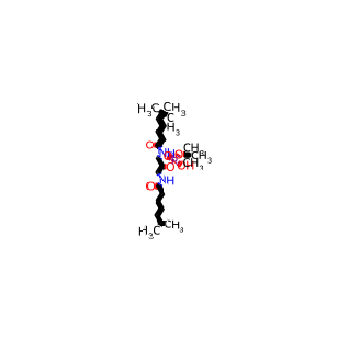 CC(C)CCCCC(=O)NCC(CNC(=O)CCCCC(C)(C)C)OP(=O)(O)OC(C)(C)C